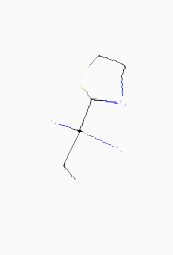 NC(N)(CC(=O)O)C1NCCS1